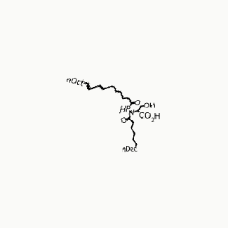 CCCCCCCCC=CCCCCCCCC(=O)PN(C(=O)CCCCCCCCCCCCCCC)C(CO)C(=O)O